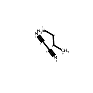 CCC[SiH3].N#CC#N